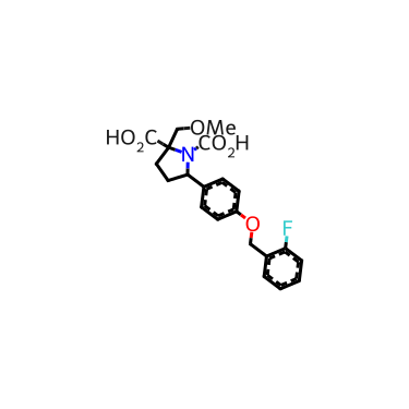 COCC1(C(=O)O)CCC(c2ccc(OCc3ccccc3F)cc2)N1C(=O)O